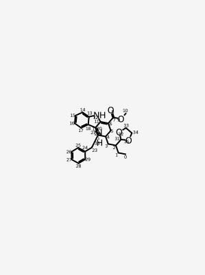 CCC(CC1CC(C(=O)OC)=C2Nc3ccccc3[C@@]23CCN(Cc2ccccc2)[C@@H]13)C1OCCO1